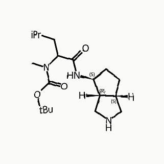 CC(C)CC(C(=O)N[C@H]1CC[C@@H]2CNC[C@@H]21)N(C)C(=O)OC(C)(C)C